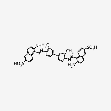 Cc1cc(-c2ccc(/N=N/c3c(N)ccc4cc(S(=O)(=O)O)ccc34)c(C)c2)ccc1/N=N/c1c(N)ccc2cc(S(=O)(=O)O)ccc12